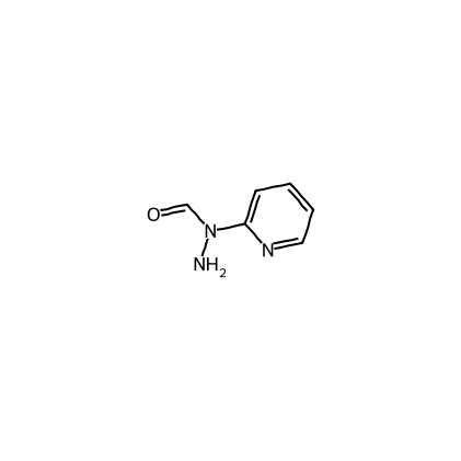 NN(C=O)c1ccccn1